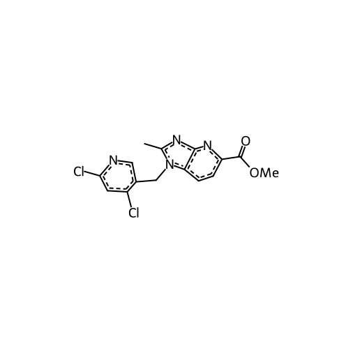 COC(=O)c1ccc2c(n1)nc(C)n2Cc1cnc(Cl)cc1Cl